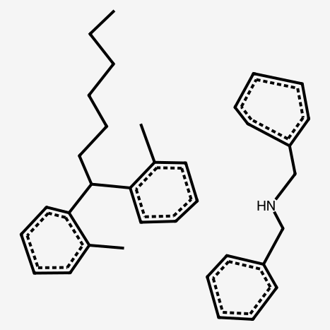 CCCCCCC(c1ccccc1C)c1ccccc1C.c1ccc(CNCc2ccccc2)cc1